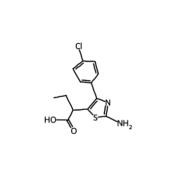 CCC(C(=O)O)c1sc(N)nc1-c1ccc(Cl)cc1